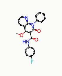 COc1c(C(=O)Nc2ccc(F)cc2)c(=O)n(-c2ccccc2)c2ncccc12